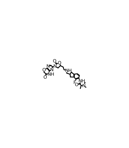 CC(C(=O)Nc1ccc2c(c1F)CC(CNCCC1CN(c3cnc4c(n3)NC(=O)CO4)C(=O)O1)C2)N(C)C